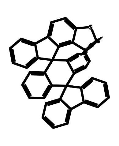 c1ccc2c(c1)-c1ccccc1C21c2ccccc2C2(c3ccccc3-c3ccc4sc5ccccc5c4c32)c2ccccc21